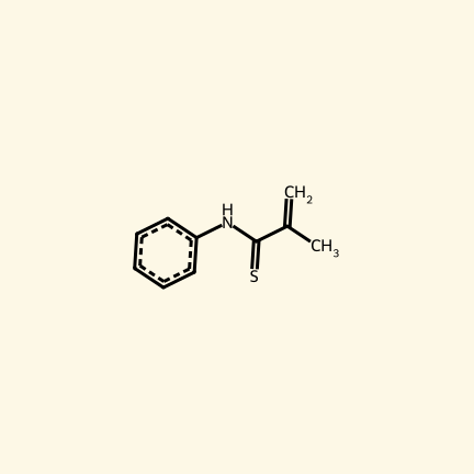 C=C(C)C(=S)Nc1ccccc1